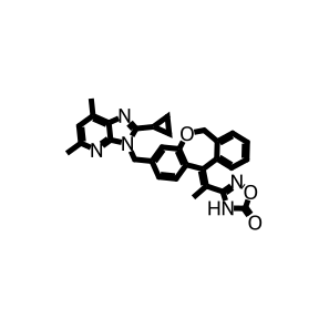 CC(=C1c2ccccc2COc2cc(Cn3c(C4CC4)nc4c(C)cc(C)nc43)ccc21)c1noc(=O)[nH]1